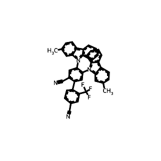 Cc1ccc2c3ccccc3n(-c3cc(C#N)c(-c4ccc(C#N)cc4C(F)(F)F)cc3-n3c4ccccc4c4ccc(C)cc43)c2c1